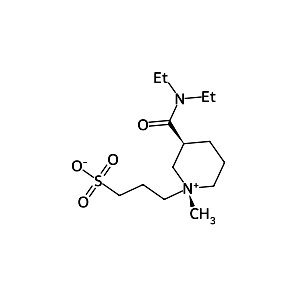 CCN(CC)C(=O)[C@H]1CCC[N@+](C)(CCCS(=O)(=O)[O-])C1